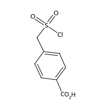 O=C(O)c1ccc(CS(=O)(=O)Cl)cc1